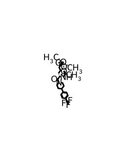 CCOP(=O)(CCC[C@H](NC(C)=O)C(=O)N1CCC(c2ccc(C(F)(F)F)cc2)CC1)OCC